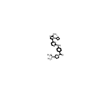 Cc1ncc(-c2ccnc(Nc3ccc(C(=O)N4CC[C@@H](N(C)C)C4)cc3)n2)n1C1CCC1